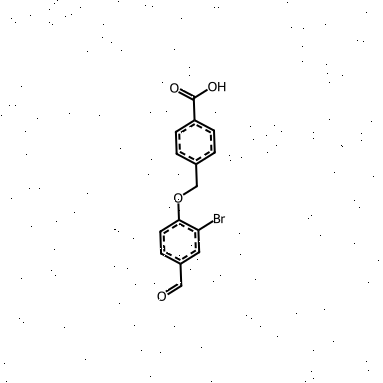 O=Cc1ccc(OCc2ccc(C(=O)O)cc2)c(Br)c1